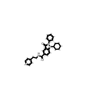 O=C(NCCc1ccncc1)c1ccc2c(c1)c(=O)n(-c1ccccc1)n2C1CCCCC1